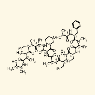 CC(C)C[C@H](CN(C)C(=O)[C@H](CC(C)C)NC(=O)[C@H](C(C)C)N(C)C(=O)[C@H](Cc1ccccc1)NC(=O)N(C)C=O)C(=O)N[C@@H](C)C(=O)N[C@@H](C(=O)N[C@@H](C(=O)N(C)[C@@H](CC(C)C)C(=O)N(C)[C@@H](C)C(=O)N[C@H](C)[C@@H](C)O)C(C)C)C(=O)N1CCCCC1